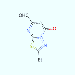 CCc1nn2c(=O)cc(C=O)nc2s1